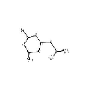 C=C(C)CC1CC(C)CC(CC)C1